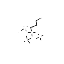 CC(C)[CH]CC[Si](O[Si](C)(C)C)(O[Si](C)(C)C)O[Si](C)(C)C